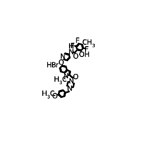 Br.COc1ccc(CN2CCN(C(=O)c3cc4cc(Oc5ccc(NC(=O)c6c(O)c(F)c(C)c(F)c6F)cn5)ccc4n3C)CC2)cc1